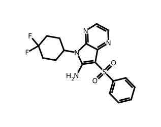 Nc1c(S(=O)(=O)c2ccccc2)c2nccnc2n1C1CCC(F)(F)CC1